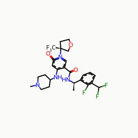 C[C@@H](NC(=O)c1cn([C@]2(C(F)(F)F)CCOC2)c(=O)cc1NC1CCN(C)CC1)c1cccc(C(F)F)c1F